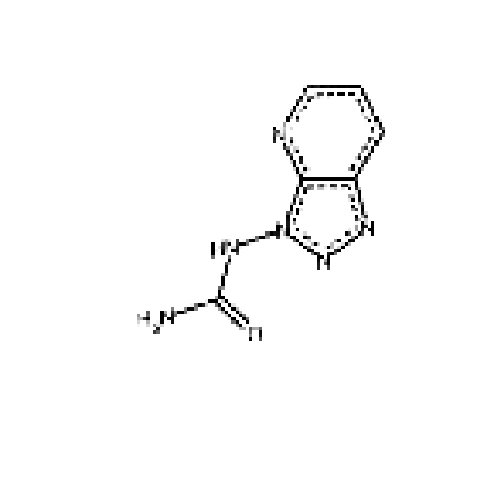 NC(=O)Nn1nnc2cccnc21